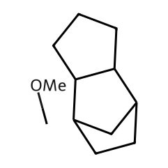 C1CC2C3CCC(C3)C2C1.COC